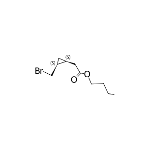 CCCCOC(=O)C[C@@H]1C[C@@H]1CBr